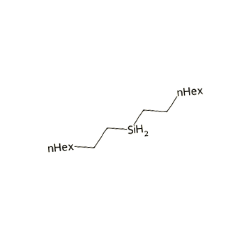 CCCCCCCC[SiH2]CCCCCCCC